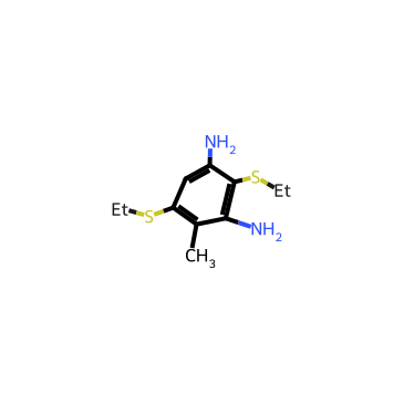 CCSc1cc(N)c(SCC)c(N)c1C